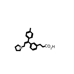 Cc1ccc(C(=CCN2CCCC2)c2cccc(CCC(=O)O)c2)cc1